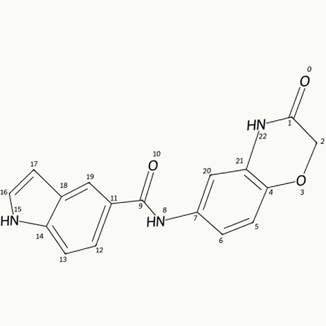 O=C1COc2ccc(NC(=O)c3ccc4[nH]ccc4c3)cc2N1